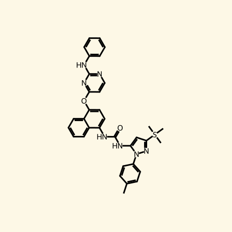 Cc1ccc(-n2nc(S(C)(C)C)cc2NC(=O)Nc2ccc(Oc3ccnc(Nc4ccccc4)n3)c3ccccc23)cc1